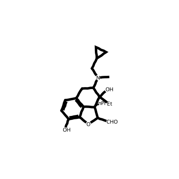 CCC[C@@]12c3c(ccc(O)c3OC1C=O)CC(N(C)CC1CC1)C2(O)CC